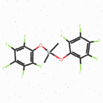 C[Si](C)(Oc1c(F)c(F)c(F)c(F)c1F)Oc1c(F)c(F)c(F)c(F)c1F